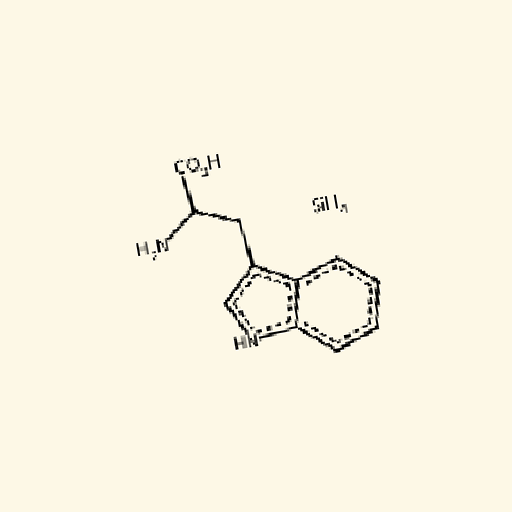 NC(Cc1c[nH]c2ccccc12)C(=O)O.[SiH4]